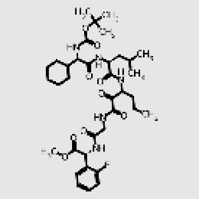 CCCC(NC(=O)[C@H](CC(C)C)NC(=O)[C@@H](NC(=O)OC(C)(C)C)C1CCCCC1)C(=O)C(=O)NCC(=O)N[C@@H](C(=O)OC)c1ccccc1F